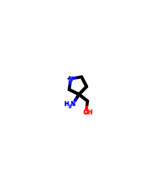 NC1(CO)CC[N]C1